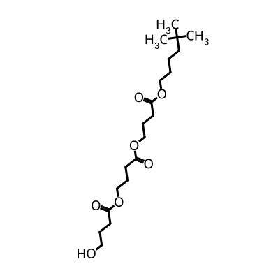 CC(C)(C)CCCCOC(=O)CCCOC(=O)CCCOC(=O)CCCO